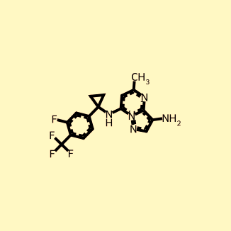 Cc1cc(NC2(c3ccc(C(F)(F)F)c(F)c3)CC2)n2ncc(N)c2n1